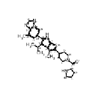 Cc1c(C2CCN(C(=O)[C@@H]3CCCN3)CC2)sc2[nH]c(-c3cc(C)c4ncnn4c3)c(C(C)C)c12